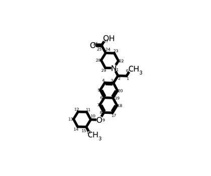 CCC(c1ccc2cc(OC3CCCCC3C)ccc2c1)N1CCC(C(=O)O)CC1